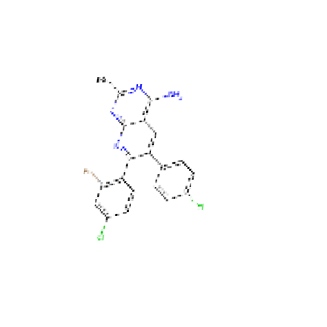 CC(C)(C)c1nc(N)c2cc(-c3ccc(Cl)cc3)c(-c3ccc(Cl)cc3Br)nc2n1